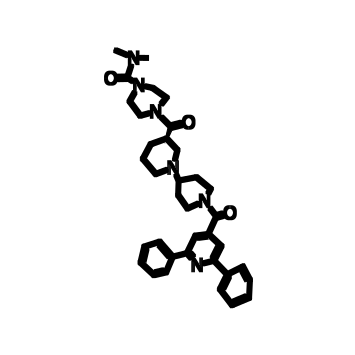 CN(C)C(=O)N1CCN(C(=O)[C@@H]2CCCN(C3CCN(C(=O)c4cc(-c5ccccc5)nc(-c5ccccc5)c4)CC3)C2)CC1